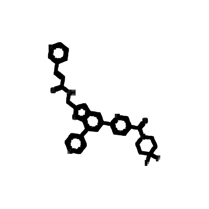 O=C(C=Cc1cccnc1)NCc1cc2cc(-c3ccc(C(=O)N4CCC(F)(F)CC4)cn3)cc(-c3ccncc3)c2o1